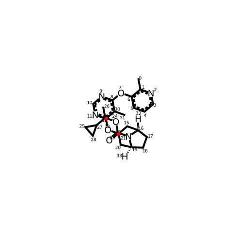 Cc1ncccc1Oc1ncnc(OC2C[C@@H]3CC[C@@H](C2)N3C(=O)OC(C)C2CC2)c1C